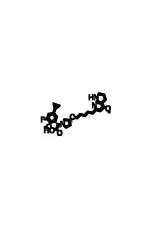 COc1cc(CCCCCO[C@@H]2CCN([C@H](C(=O)O)c3cc(C4CC4)cc(F)c3OC)C2)nc2c1CCCN2